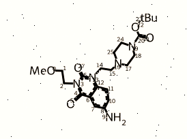 COCCn1c(=O)c2cc(N)ccc2n(CCN2CCN(C(=O)OC(C)(C)C)CC2)c1=O